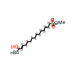 CCCC[C@@H](O)C=CCCCCCCCCCCCCS(=O)(=O)OC